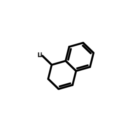 [Li][CH]1CC=Cc2ccccc21